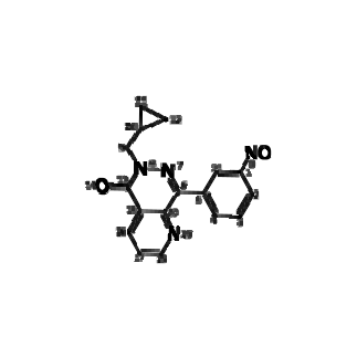 O=Nc1cccc(-c2nn(CC3CC3)c(=O)c3cccnc23)c1